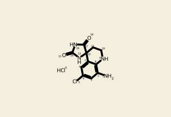 Cl.Nc1cc(Cl)cc2c1NCCC21NC(=O)NC1=O